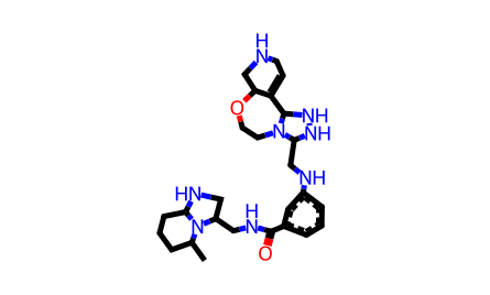 CC1CCCC2NCC(CNC(=O)c3cccc(NCC4NNC5C6=CCNCC6OCCN45)c3)N12